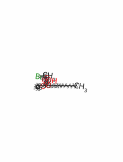 CCCCCCCCCCCCCCCCOCC(COP(=O)(O)OC(C)CBr)OCc1ccccc1